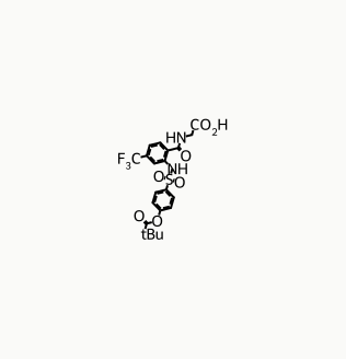 CC(C)(C)C(=O)Oc1ccc(S(=O)(=O)Nc2cc(C(F)(F)F)ccc2C(=O)NCC(=O)O)cc1